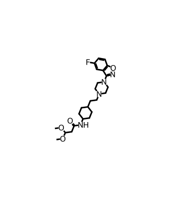 COC(CC(=O)NC1CCC(CCN2CCN(c3noc4ccc(F)cc34)CC2)CC1)OC